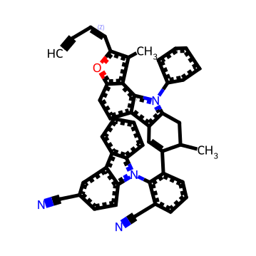 C#C/C=C\c1oc2ccc3c4c(n(-c5ccccc5)c3c2c1C)CC(C)C(c1cccc(C#N)c1-n1c2ccccc2c2cc(C#N)ccc21)=C4